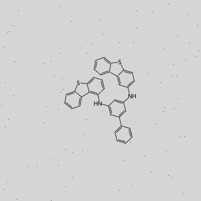 c1ccc(-c2cc(Nc3ccc4sc5ccccc5c4c3)cc(Nc3cccc4sc5ccccc5c34)c2)cc1